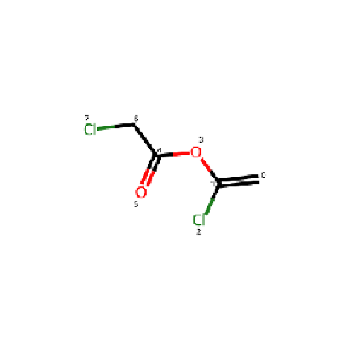 C=C(Cl)OC(=O)CCl